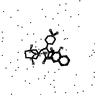 COC(=O)N(CCN1[C@@H]2CC[C@H]1C[C@@H](NC(=O)c1cc3ccccc3n(C(C)C)c1=O)C2)C1CCS(=O)(=O)CC1